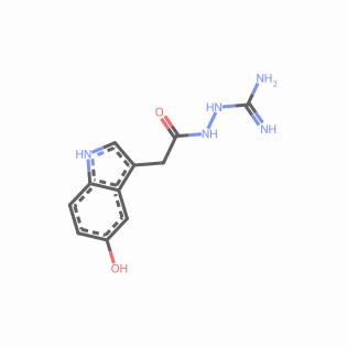 N=C(N)NNC(=O)Cc1c[nH]c2ccc(O)cc12